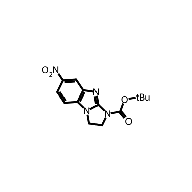 CC(C)(C)OC(=O)N1CCn2c1nc1cc([N+](=O)[O-])ccc12